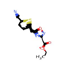 CCOC(=O)c1noc(-c2ccc(C#N)s2)n1